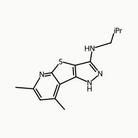 Cc1cc(C)c2c(n1)sc1c(NCC(C)C)n[nH]c12